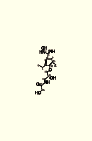 CCc1cc(C(=N)NO)cc(C)c1OC[C@H](O)CNC(=O)CO